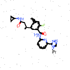 Cc1cc(F)c(C(=O)Nc2cccc(-c3nncn3C(C)C)n2)cc1C(C)CC(=O)NC1CC1